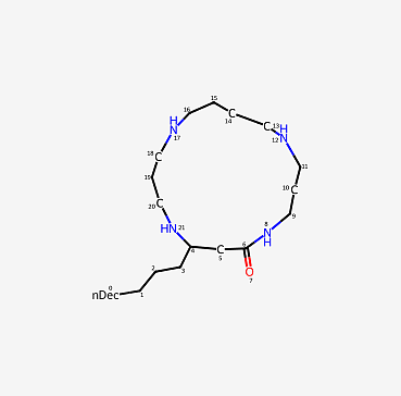 CCCCCCCCCCCCCC1CC(=O)NCCCNCCCCNCCCN1